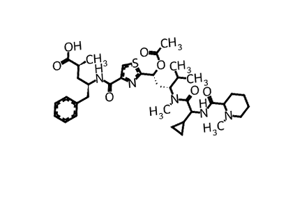 CC(=O)O[C@H](C[C@H](C(C)C)N(C)C(=O)C(NC(=O)C1CCCCN1C)C1CC1)c1nc(C(=O)N[C@@H](Cc2ccccc2)C[C@H](C)C(=O)O)cs1